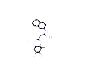 CC(CC(C)=Nc1ccc(F)c(F)c1F)=Nc1ccc2ccccc2c1